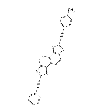 Cc1ccc(C#Cc2nc3ccc4c(ccc5nc(C#Cc6ccccc6)sc54)c3s2)cc1